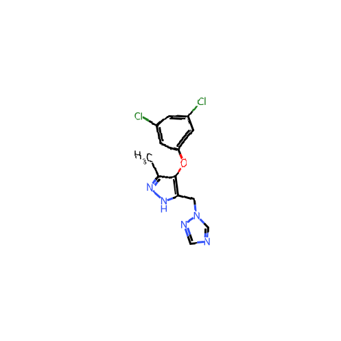 Cc1n[nH]c(Cn2cncn2)c1Oc1cc(Cl)cc(Cl)c1